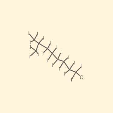 [O]C(I)(I)C(I)(I)C(I)(I)C(I)(I)C(I)(I)C(I)(I)C(I)(C(I)(I)I)C(I)(I)I